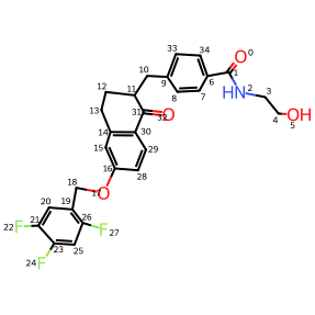 O=C(NCCO)c1ccc(CC2CCc3cc(OCc4cc(F)c(F)cc4F)ccc3C2=O)cc1